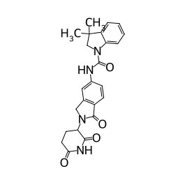 CC1(C)CN(C(=O)Nc2ccc3c(c2)CN(C2CCC(=O)NC2=O)C3=O)c2ccccc21